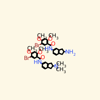 COc1cc(OC)c(C(=O)Nc2ccc3c(c2)CC(N(C)C)C3)cc1Br.COc1cc(OC)c(C(=O)Nc2ccc3c(c2)CC(N)C3)cc1Br